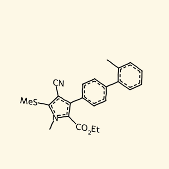 CCOC(=O)c1c(-c2ccc(-c3ccccc3C)cc2)c(C#N)c(SC)n1C